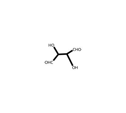 O=[C]C(O)C(O)[C]=O